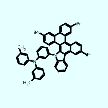 Cc1cccc(N(c2cccc(C)c2)c2cccc(-n3c4ccccc4c4c5cc(C(C)C)ccc5c5c6cc(C(C)C)ccc6c6cc(C(C)C)ccc6c5c43)c2)c1